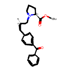 C[C@@H](Cc1ccc(C(=O)c2ccccc2)cc1)CN1CCC[C@H]1C(=O)OC(C)(C)C